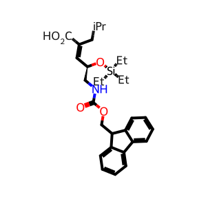 CC[Si](CC)(CC)O[C@H](/C=C(\CC(C)C)C(=O)O)CNC(=O)OCC1c2ccccc2-c2ccccc21